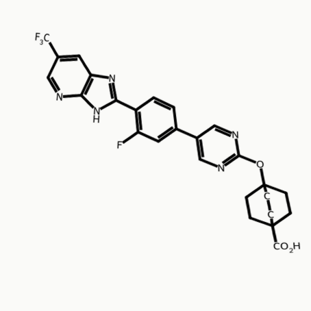 O=C(O)C12CCC(Oc3ncc(-c4ccc(-c5nc6cc(C(F)(F)F)cnc6[nH]5)c(F)c4)cn3)(CC1)CC2